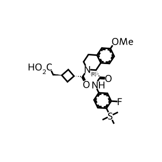 COc1ccc2c(c1)CCN(C(=O)[C@H]1C[C@H](CC(=O)O)C1)[C@H]2C(=O)Nc1ccc(S(C)(C)C)c(F)c1